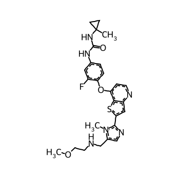 COCCNCc1cnc(-c2cc3nccc(Oc4ccc(NC(=O)NC5(C)CC5)cc4F)c3s2)n1C